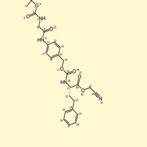 CC(C)(C)OC(=O)NCC(=O)Nc1ccc(COC(=O)N[C@@H](CCc2ccccc2)C(=O)OCC#N)cc1